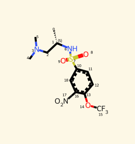 C[C@@H](CN(C)C)NS(=O)(=O)c1ccc(OC(F)(F)F)c([N+](=O)[O-])c1